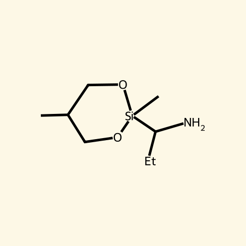 CCC(N)[Si]1(C)OCC(C)CO1